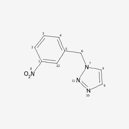 O=[N+]([O-])c1cccc(Cn2ccnn2)c1